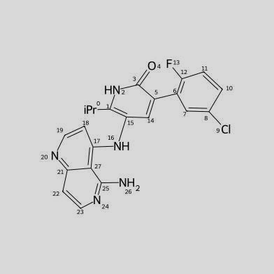 CC(C)c1[nH]c(=O)c(-c2cc(Cl)ccc2F)cc1Nc1ccnc2ccnc(N)c12